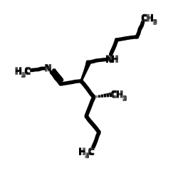 CCCNC[C@H](/C=N/C)[C@H](C)CCC